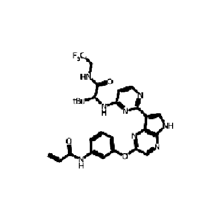 C=CC(=O)Nc1cccc(Oc2cnc3[nH]cc(-c4nccc(NC(C(=O)NCC(F)(F)F)C(C)(C)C)n4)c3n2)c1